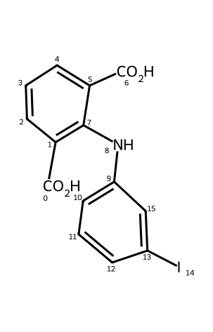 O=C(O)c1cccc(C(=O)O)c1Nc1cccc(I)c1